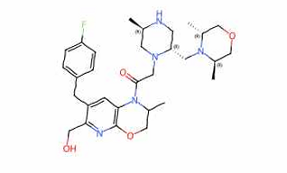 CC1COc2nc(CO)c(Cc3ccc(F)cc3)cc2N1C(=O)CN1C[C@@H](C)NC[C@@H]1CN1[C@H](C)COC[C@H]1C